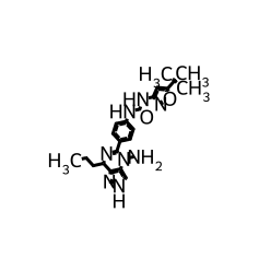 CCCC1N=C(c2ccc(NC(=O)Nc3cc(C(C)(C)C)on3)cc2)N(N)c2c[nH]nc21